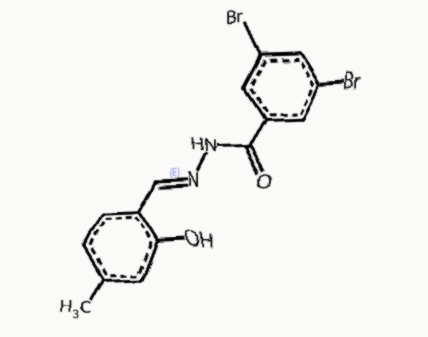 Cc1ccc(/C=N/NC(=O)c2cc(Br)cc(Br)c2)c(O)c1